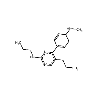 CCCc1cnc(NSCC)nc1C1=CCC(NC)C=C1